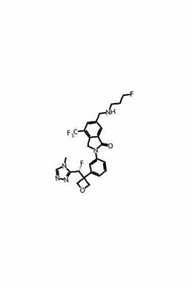 Cn1cnnc1[C@H](F)C1(c2cccc(N3Cc4c(cc(CNCCCF)cc4C(F)(F)F)C3=O)c2)COC1